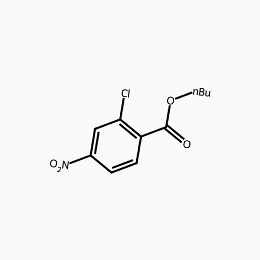 CCCCOC(=O)c1ccc([N+](=O)[O-])cc1Cl